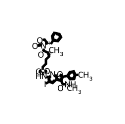 CNC(=O)c1c(-c2ccc(C)cc2)oc2nc(NS(=O)(=O)CCCC[C@H](C)C(=O)N3C(=O)OC[C@@H]3Cc3ccccc3)c(I)cc12